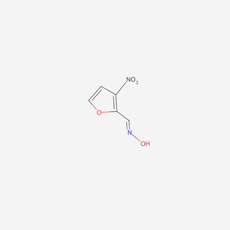 O=[N+]([O-])c1ccoc1C=NO